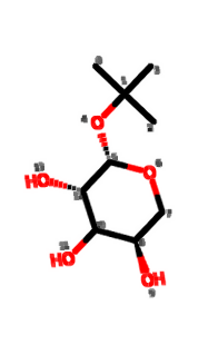 CC(C)(C)O[C@@H]1OC[C@@H](O)C(O)[C@@H]1O